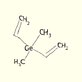 C=[CH][Ge]([CH3])([CH3])[CH]=C